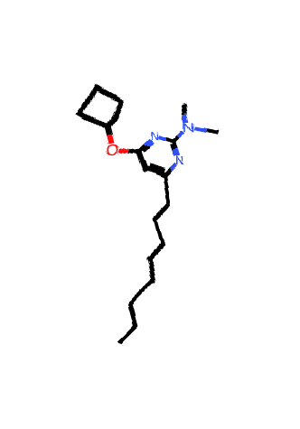 CCCCCCCCc1cc(OC2CCC2)nc(N(C)C)n1